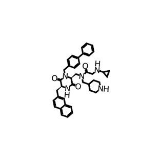 O=C1N[C@@H](Cc2ccc3ccccc3c2)C(=O)N(Cc2ccc(-c3ccccc3)cc2)[C@H]1CN(CC1CCNCC1)C(=O)CNC1CC1